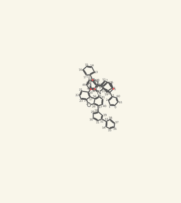 c1ccc(-c2cccc(-c3nc(-c4ccccc4)nc(-c4cccc5oc6c(-c7cccc(-c8ccccc8)c7)ccc(-n7c8ccccc8c8ccccc87)c6c45)n3)c2)cc1